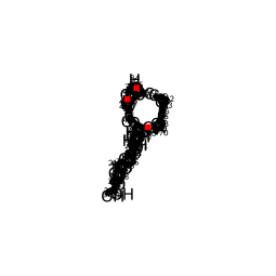 C=C1C2C[C@@H]3O[C@H]4C[C@H]5O[C@@]6(CC7OC8(CCC7O6)C[C@H](C)C6OC7CC(C(O)CO)OC7CC6O8)C[C@H]5O[C@H]4CC3OC(=O)CC3CCC4OC5C6O[C@@H]7C[C@](CCC8CC(C)(C)C(CCC(C[C@H]1C)O2)O8)(OC6[C@H]4O3)OC57